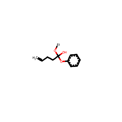 C=CCCC(O)(OCC)Oc1ccccc1